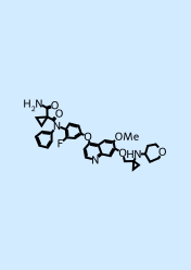 COc1cc2c(Oc3ccc(N(C(=O)C4(C(N)=O)CC4)c4ccccc4)c(F)c3)ccnc2cc1OCC1(NC2CCOCC2)CC1